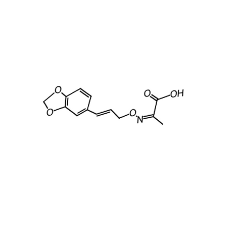 C/C(=N/OC/C=C/c1ccc2c(c1)OCO2)C(=O)O